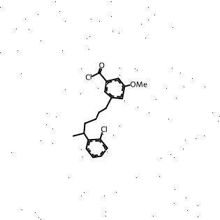 COc1cc(CCCCC(C)c2ccccc2Cl)cc(C(=O)Cl)c1